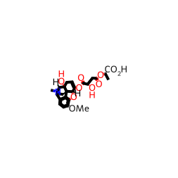 COc1ccc2c3c1O[C@H]1C(OC(=O)[C@@H](O)CC(=O)O[C@@H](C)C(=O)O)=CC[C@@]4(O)[C@@H](C2)N(C)CC[C@]314